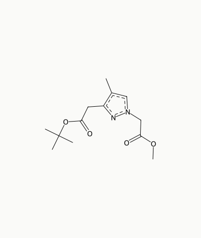 COC(=O)Cn1cc(C)c(CC(=O)OC(C)(C)C)n1